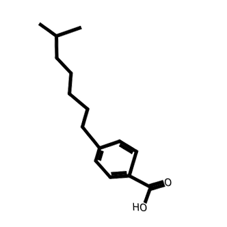 CC(C)CCCCCc1ccc(C(=O)O)cc1